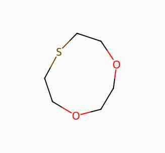 C1COCCSCCO1